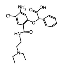 CCN(CC)CCNC(=O)c1cc(Cl)c(N)cc1OC(C(=O)O)c1ccccc1